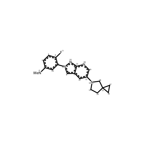 CNc1ccc(F)c(-n2cc3cc(N4CCC5(CC5)C4)cnc3n2)c1